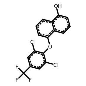 Oc1cccc2c(Oc3c(Cl)cc(C(F)(F)F)cc3Cl)cccc12